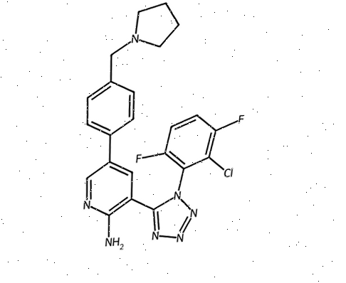 Nc1ncc(-c2ccc(CN3CCCC3)cc2)cc1-c1nnnn1-c1c(F)ccc(F)c1Cl